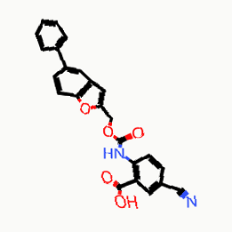 N#Cc1ccc(NC(=O)OCc2cc3cc(-c4ccccc4)ccc3o2)c(C(=O)O)c1